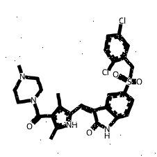 Cc1[nH]c(/C=C2\C(=O)Nc3ccc(S(=O)(=O)Cc4cc(Cl)ccc4Cl)cc32)c(C)c1C(=O)N1CCN(C)CC1